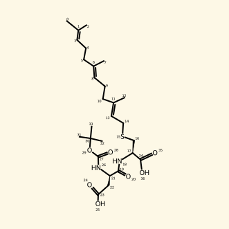 CC(C)=CCC/C(C)=C/CC/C(C)=C/CSC[C@H](NC(=O)[C@@H](CC(=O)O)NC(=O)OC(C)(C)C)C(=O)O